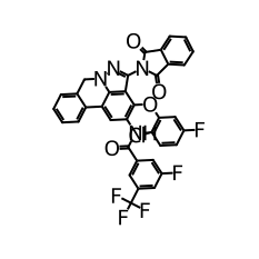 O=C(Nc1cc2c3c(c(N4C(=O)c5ccccc5C4=O)nn3Cc3ccccc3-2)c1Oc1cc(F)ccc1Cl)c1cc(F)cc(C(F)(F)F)c1